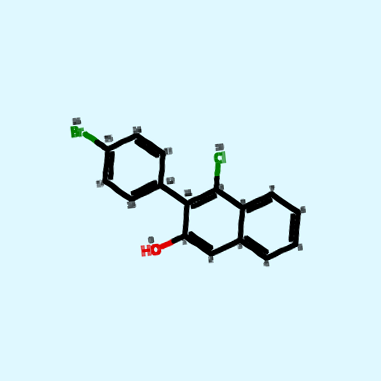 Oc1cc2ccccc2c(Cl)c1-c1ccc(Br)cc1